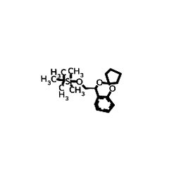 CC(C)(C)[Si](C)(C)OC[C@H]1OC2(CCCC2)Oc2ccccc21